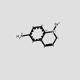 [2H]N1CC=Cc2cc(N)ccc21